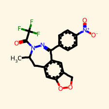 CC1Cc2cc3c(cc2C(c2ccc([N+](=O)[O-])cc2)=NN1C(=O)C(F)(F)F)COO3